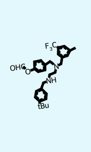 Cc1cc(CN(CCNCc2ccc(C(C)(C)C)cc2)Cc2ccc(OC=O)cc2)cc(C(F)(F)F)c1